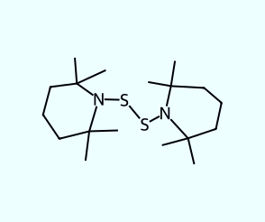 CC1(C)CCCC(C)(C)N1SSN1C(C)(C)CCCC1(C)C